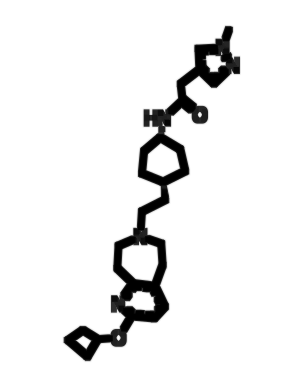 Cn1cc(CC(=O)N[C@H]2CC[C@H](CCN3CCc4ccc(OC5CCC5)nc4CC3)CC2)cn1